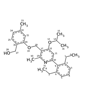 CCc1cccc(CC)c1-c1cc(OC(C)C)c(COc2cc(C)ccc2CO)c(C)n1